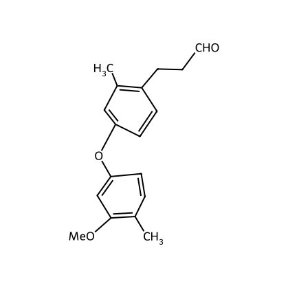 COc1cc(Oc2ccc(CCC=O)c(C)c2)ccc1C